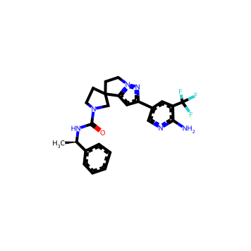 C[C@@H](NC(=O)N1CCC2(CCn3nc(-c4cnc(N)c(C(F)(F)F)c4)cc32)C1)c1ccccc1